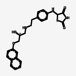 O=C1NC(=O)C(Nc2ccc(CCNC[C@H](O)COc3ccc4ccccc4c3)cc2)S1